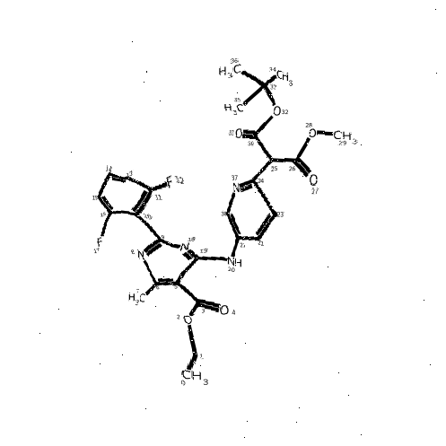 CCOC(=O)c1c(C)nc(-c2c(F)cccc2F)nc1Nc1ccc(C(C(=O)OC)C(=O)OC(C)(C)C)nc1